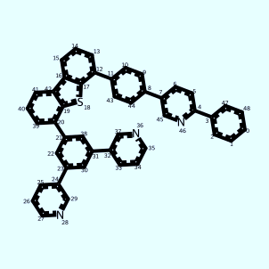 c1ccc(-c2ccc(-c3ccc(-c4cccc5c4sc4c(-c6cc(-c7cccnc7)cc(-c7cccnc7)c6)cccc45)cc3)cn2)cc1